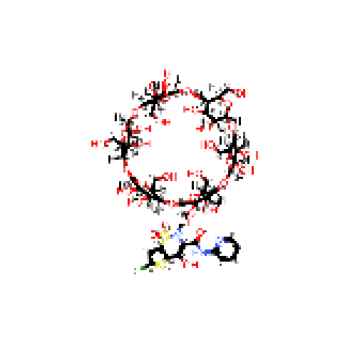 CN1C(C(=O)Nc2ccccn2)=C(O)c2sc(Cl)cc2S1(=O)=O.OC[C@H]1O[C@@H]2O[C@H]3[C@H](O)[C@@H](O)[C@@H](O[C@H]4[C@H](O)[C@@H](O)[C@@H](O[C@H]5[C@H](O)[C@@H](O)[C@@H](O[C@H]6[C@H](O)[C@@H](O)[C@@H](O[C@H]7[C@H](O)[C@@H](O)[C@@H](O[C@H]1[C@H](O)[C@H]2O)O[C@@H]7CO)O[C@@H]6CO)O[C@@H]5CO)O[C@@H]4CO)O[C@@H]3CO